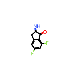 N=C1Cc2cc(F)cc(F)c2C1=O